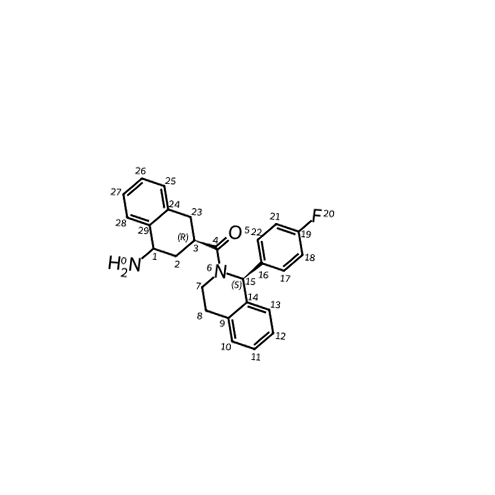 NC1C[C@H](C(=O)N2CCc3ccccc3[C@@H]2c2ccc(F)cc2)Cc2ccccc21